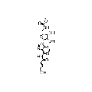 COC(=O)NC[C@H]1O[C@@H](n2cnc3c(NC(=O)/C=C/CO)ncnc32)[C@H](O)[C@@H]1O